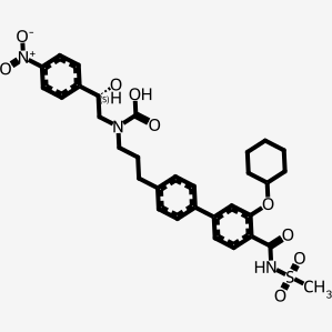 CS(=O)(=O)NC(=O)c1ccc(-c2ccc(CCCN(C[C@@H](O)c3ccc([N+](=O)[O-])cc3)C(=O)O)cc2)cc1OC1CCCCC1